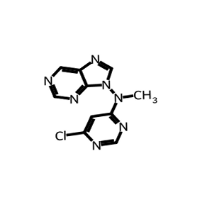 CN(c1cc(Cl)ncn1)n1cnc2cncnc21